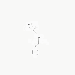 CC(C)(CCN1CCOCC1)C(=O)OCCNP(=O)(O)O